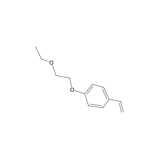 C=Cc1ccc(OCCOCC)cc1